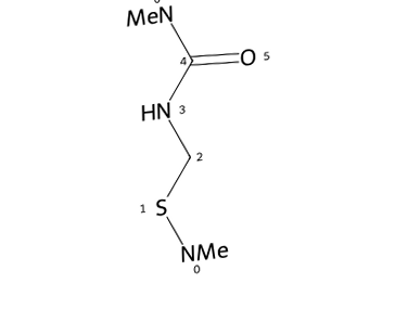 CNSCNC(=O)NC